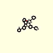 Cc1ccccc1-c1ccc2c(c1)c1ccccc1n2-c1ccc(-c2ccncc2)cc1-c1nc(-c2ccccc2)nc(-c2ccccc2)n1